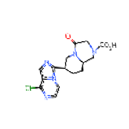 O=C(O)N1CC(=O)N2CC(c3ncc4c(Cl)nccn34)CCC2C1